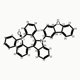 O=P1(c2ccccc2)c2ccccc2-c2c(n(-c3ccc4oc5ccccc5c4c3)c3ccccc23)-c2ccccc21